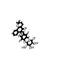 CC1(C)CCC2=C(O1)c1ccccc1C(O)(Cc1c(F)c(F)c(O[C@H]3OC(=O)[C@@H](O)[C@@H](O)[C@H]3O)c(F)c1F)C2=O